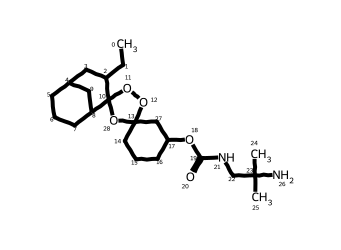 CCC1CC2CCCC(C2)C12OOC1(CCCC(OC(=O)NCC(C)(C)N)C1)O2